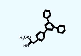 COC(=N)Cc1ccc(-c2cc(-c3ccccc3)cc(-c3ccccc3)c2)cc1